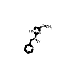 COc1c[nH]c([S+]([O-])Cc2ccccn2)n1